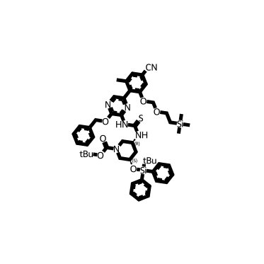 Cc1cc(C#N)cc(OCOCC[Si](C)(C)C)c1-c1cnc(OCc2ccccc2)c(NC(=S)N[C@@H]2C[C@H](O[Si](c3ccccc3)(c3ccccc3)C(C)(C)C)CN(C(=O)OC(C)(C)C)C2)n1